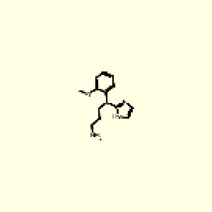 COc1ccccc1C(CCCN)c1ncc[nH]1